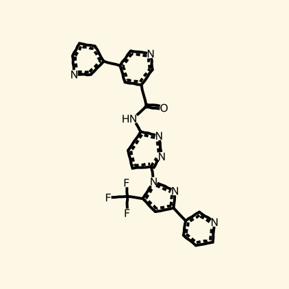 O=C(Nc1ccc(-n2nc(-c3cccnc3)cc2C(F)(F)F)nn1)c1cncc(-c2cccnc2)c1